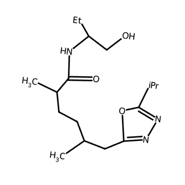 CCC(CO)NC(=O)C(C)CCC(C)Cc1nnc(C(C)C)o1